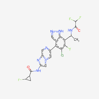 CC(NC(=O)C(F)F)c1c(F)c(Cl)c(-c2cn3cc(NC(=O)C4CC4F)nc3cn2)c2cn[nH]c12